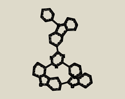 c1ccc(-c2nc(-c3ccc4c(c3)c3ccccc3n4-c3ccccc3)nc(-c3cccc4oc5ccc(-c6nc7ccccc7o6)cc5c34)n2)cc1